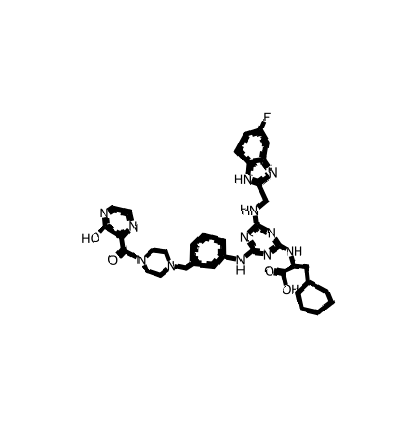 O=C(O)C(CC1CCCCC1)Nc1nc(NCc2nc3cc(F)ccc3[nH]2)nc(Nc2cccc(CN3CCN(C(=O)c4nccnc4O)CC3)c2)n1